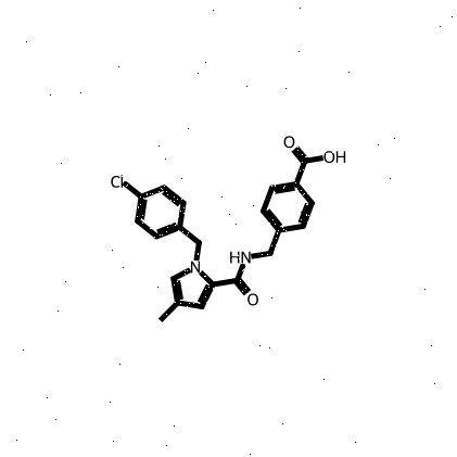 Cc1cc(C(=O)NCc2ccc(C(=O)O)cc2)n(Cc2ccc(Cl)cc2)c1